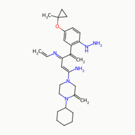 C=C/N=C(\C=C(/N)N1CCN(C2CCCCC2)C(=C)C1)C(=C)c1cc(OC2(C)CC2)ccc1NN